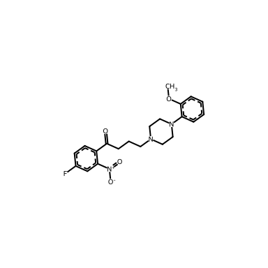 COc1ccccc1N1CCN(CCCC(=O)c2ccc(F)cc2[N+](=O)[O-])CC1